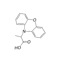 CC(C(=O)O)N1c2ccccc2Oc2ccccc21